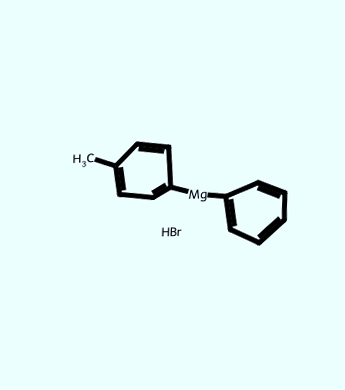 Br.Cc1cc[c]([Mg][c]2ccccc2)cc1